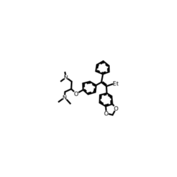 CCC(=C(c1ccccc1)c1ccc(OC(CN(C)C)CN(C)C)cc1)c1ccc2c(c1)OCO2